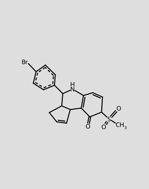 CS(=O)(=O)C1C=CC2=C(C1=O)C1C=CCC1C(c1ccc(Br)cc1)N2